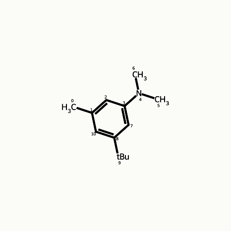 Cc1cc(N(C)C)cc(C(C)(C)C)c1